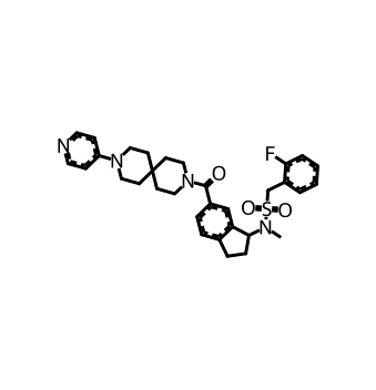 CN(C1CCc2ccc(C(=O)N3CCC4(CC3)CCN(c3ccncc3)CC4)cc21)S(=O)(=O)Cc1ccccc1F